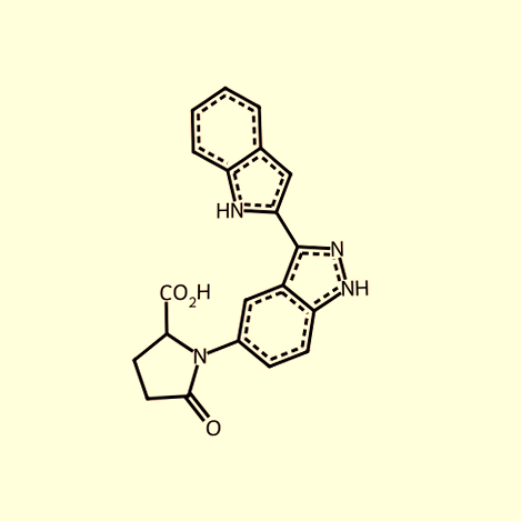 O=C(O)C1CCC(=O)N1c1ccc2[nH]nc(-c3cc4ccccc4[nH]3)c2c1